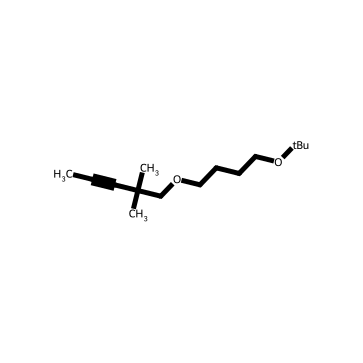 CC#CC(C)(C)COCCCCOC(C)(C)C